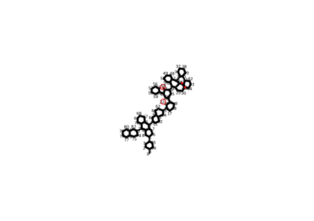 Cc1ccc(-c2ccc3c(-c4ccc5cc(-c6cccc7c6oc6c7cc(-c7c8ccccc8c(-c8ccccc8-c8ccccc8)c8ccccc78)c7oc8ccccc8c76)ccc5c4)c4ccccc4c(-c4ccc5ccccc5c4)c3c2)cc1